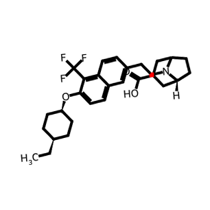 CC[C@H]1CC[C@@H](Oc2ccc3cc(CCN4C5CC[C@@H]4CC(C(=O)O)C5)ccc3c2C(F)(F)F)CC1